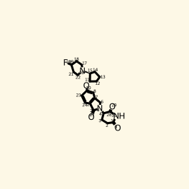 O=C1CCC(N2Cc3cc(O[C@H]4CCC[C@@H]4N4CCC(F)CC4)ccc3C2=O)C(=O)N1